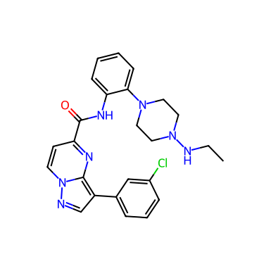 CCNN1CCN(c2ccccc2NC(=O)c2ccn3ncc(-c4cccc(Cl)c4)c3n2)CC1